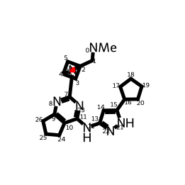 CNCC12CC(C1)N(c1nc3c(c(Nc4cc(C5CCCC5)[nH]n4)n1)CCC3)C2